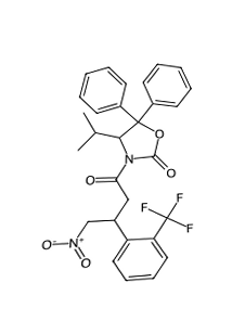 CC(C)C1N(C(=O)CC(C[N+](=O)[O-])c2ccccc2C(F)(F)F)C(=O)OC1(c1ccccc1)c1ccccc1